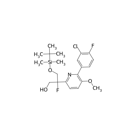 COc1ccc(C(F)(CO)CO[Si](C)(C)C(C)(C)C)nc1-c1ccc(F)c(Cl)c1